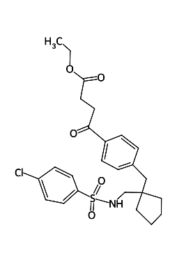 CCOC(=O)CCC(=O)c1ccc(CC2(CNS(=O)(=O)c3ccc(Cl)cc3)CCCC2)cc1